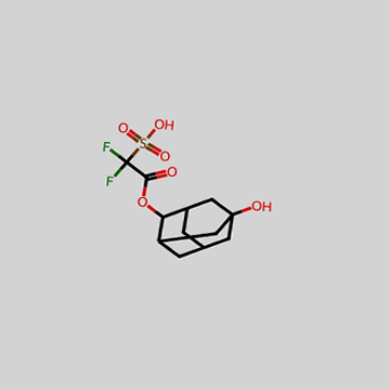 O=C(OC1C2CC3CC1CC(O)(C3)C2)C(F)(F)S(=O)(=O)O